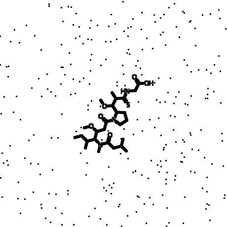 CCC(C)C(C(CC(=O)N1CCCC1C(OC)C(C)C(=S)NCC(=O)O)OC)N(C)C(=O)CC(C)C